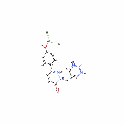 O=c1ccc(-c2ccc(OC(F)F)cc2)nn1Cc1cncnc1